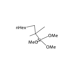 CCCCCCCC(C)(C)[Si](OC)(OC)OC